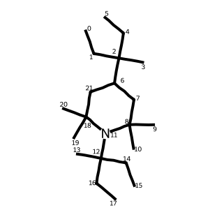 CCC(C)(CC)C1CC(C)(C)N(C(C)(CC)CC)C(C)(C)C1